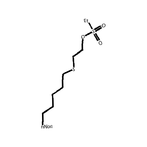 CCCCCCCCCCCCCCSCCOS(=O)(=O)CC